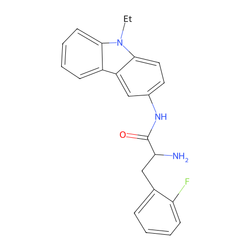 CCn1c2ccccc2c2cc(NC(=O)C(N)Cc3ccccc3F)ccc21